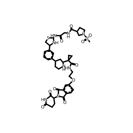 CS(=O)(=O)N1CCC(C(=O)NCC(=O)NC2NC(c3cccc(C4CCNC(C5(C(=O)NCCOc6ccc7c(c6)C(=O)N(C6CCC(=O)NC6=O)C7=O)CC5)C4)c3)CS2)C1